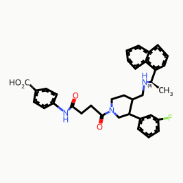 C[C@@H](NCC1CCN(C(=O)CCC(=O)Nc2ccc(C(=O)O)cc2)CC1c1cccc(F)c1)c1cccc2ccccc12